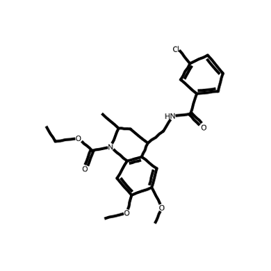 CCOC(=O)N1c2cc(OC)c(OC)cc2C(CNC(=O)c2cccc(Cl)c2)CC1C